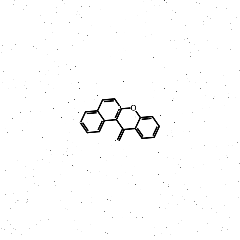 C=C1c2ccccc2Oc2ccc3ccccc3c21